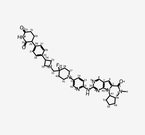 CN(C)C(=O)c1cc2cnc(Nc3ccc(N4CCC(F)(CN5CC(c6ccc(C7CCC(=O)NC7=O)cc6)C5)CC4)cn3)nc2n1C1CCCC1